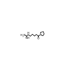 N=C(N)N[CH]CCCC(=O)N1CCCC1